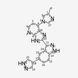 Cc1cn(-c2ccnc3[nH]c(-c4n[nH]c5ccc(-c6cn[nH]c6)cc45)nc23)cn1